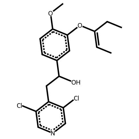 CC=C(CC)Oc1cc(C(O)Cc2c(Cl)cncc2Cl)ccc1OC